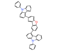 c1ccc(-n2c3ccccc3c3c(-c4ccc5oc6ccc(-c7cccc8c7c7ccccc7n8-c7ccccc7)cc6c5c4)cccc32)cc1